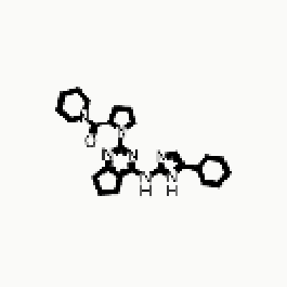 O=C([C@H]1CCCN1c1nc2c(c(Nc3ncc(C4CCCCC4)[nH]3)n1)CCC2)N1CCCCC1